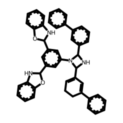 C1=C(c2ccccc2)CCC=C1C1NC(c2cccc(-c3ccccc3)c2)N1c1cc(C2Nc3ccccc3O2)cc(C2Nc3ccccc3O2)c1